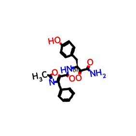 Cc1nc(-c2ccccc2)c(C(=O)N[C@@H](Cc2ccc(O)cc2)C(=O)C(N)=O)o1